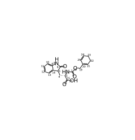 O=C(N[C@@H](CC1C(=O)Nc2ccccc21)C(=O)O)OCC1=CCCC=C1